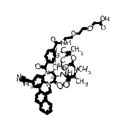 COc1ccc2ccccc2c1CN1C(=O)[C@@H](NC(=O)[C@H](C)N(C)C(=O)OC(C)(C)C)[C@H](C)N(C(=O)c2ccc(C(=O)NCCOCCOCC(=O)O)cc2)c2cc(C#N)ccc21